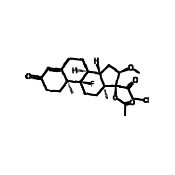 CO[C@@H]1C[C@H]2[C@@H]3CCC4=CC(=O)CC[C@]4(C)[C@@]3(F)CC[C@]2(C)[C@@]1(OC(C)=O)C(=O)CCl